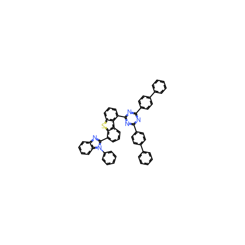 c1ccc(-c2ccc(-c3nc(-c4ccc(-c5ccccc5)cc4)nc(-c4cccc5sc6c(-c7nc8ccccc8n7-c7ccccc7)cccc6c45)n3)cc2)cc1